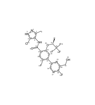 Cc1n[nH]c(Cl)c1NC(=O)c1cc(F)c(-c2cnc(F)c(CO)n2)cc1O[C@@H](C)C(F)(F)F